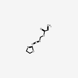 C1=NCCO1.C=CC(=O)OCN=C=O